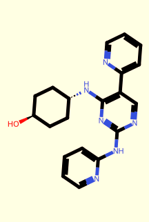 O[C@H]1CC[C@H](Nc2nc(Nc3ccccn3)ncc2-c2ccccn2)CC1